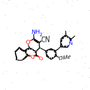 COc1ccc(C2C(C#N)=C(N)Oc3c2c(=O)oc2c3=CCCC=2)cc1-c1cnc(C)c(C)c1